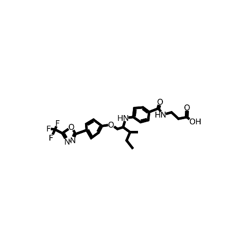 CCC(C)C(COc1ccc(-c2nnc(C(F)(F)F)o2)cc1)Nc1ccc(C(=O)NCCC(=O)O)cc1